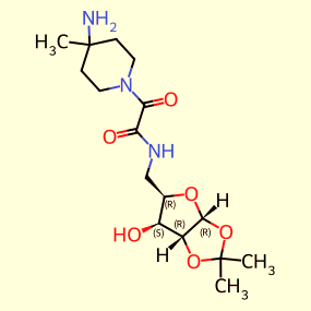 CC1(N)CCN(C(=O)C(=O)NC[C@H]2O[C@@H]3OC(C)(C)O[C@@H]3[C@H]2O)CC1